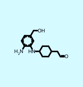 Nc1ccc(CO)cc1NC1CCC(CC=O)CC1